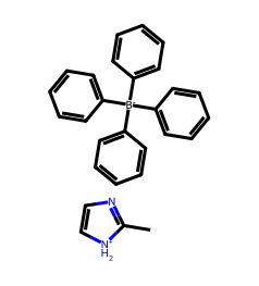 CC1=NC=C[NH2+]1.c1ccc([B-](c2ccccc2)(c2ccccc2)c2ccccc2)cc1